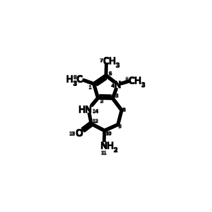 Cc1c2c(n(C)c1C)CCC(N)C(=O)N2